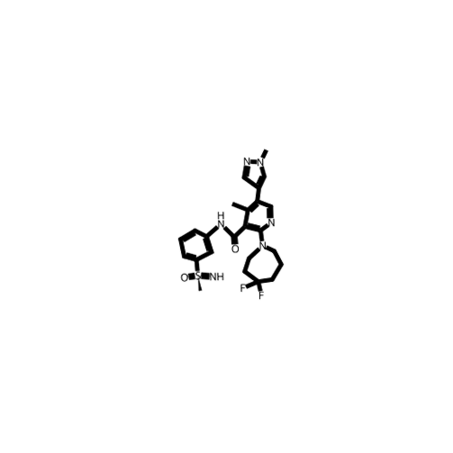 Cc1c(-c2cnn(C)c2)cnc(N2CCCC(F)(F)CC2)c1C(=O)Nc1cccc([S@](C)(=N)=O)c1